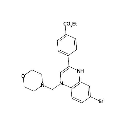 CCOC(=O)c1ccc(C2=CN(CN3CCOCC3)c3ccc(Br)cc3N2)cc1